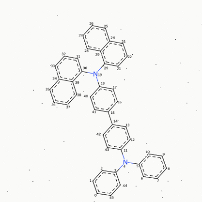 c1ccc(N(c2ccccc2)c2ccc(-c3ccc(N(c4cccc5ccccc45)c4cccc5ccccc45)cc3)cc2)cc1